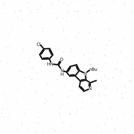 CCCCn1c2ccc(NC(=O)Nc3ccc(Cl)cc3)cc2c2ccnc(C)c21